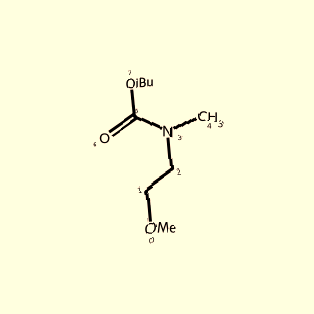 COCCN(C)C(=O)OCC(C)C